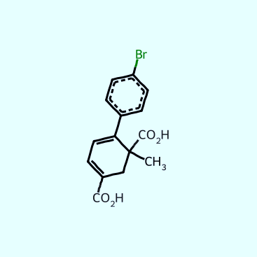 CC1(C(=O)O)CC(C(=O)O)=CC=C1c1ccc(Br)cc1